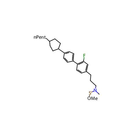 CCCCCC1CCC(c2ccc(-c3ccc(CCCN(C)SOC)cc3F)cc2)CC1